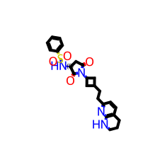 O=C1C[C@H](NS(=O)(=O)c2ccccc2)C(=O)N1C1CC(CCc2ccc3c(n2)NCCC3)C1